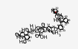 CCC(CC1(C(=O)O)CCN(C(=O)c2cc(COc3cccc([C@@H](NC(=O)O[C@H]4CN5CCC4CC5)c4ccccc4)c3)n(C)n2)CC1)NC[C@H](O)c1ccc(O)c2[nH]c(=O)ccc12